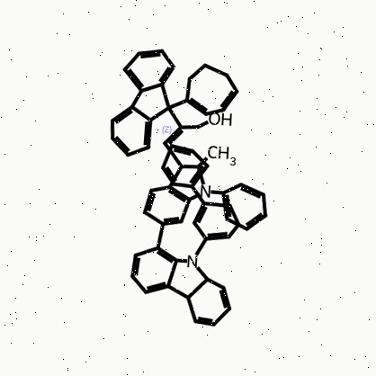 CC1C(/C=C(\CO)C2(C3=CC=CCCC3)c3ccccc3-c3ccccc32)c2ccc(-c3cccc4c3N(C3=CCCC(c5ccccc5)=C3)C3C=CC=CC43)cc2N1c1ccccc1